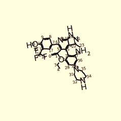 C=C(OCC)c1c(-c2ccc(O)c(C(F)(F)F)c2)nc2[nH]nc(C)c2c1-c1ccc(N2CCNCC2)cc1N